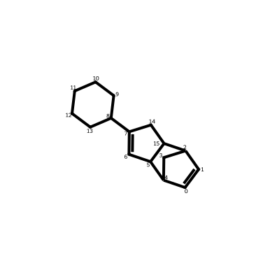 C1=CC2CC1C1C=C(C3CCCCC3)CC21